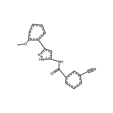 COc1ccccc1-c1cc(NC(=O)c2cccc(C#N)c2)[nH]n1